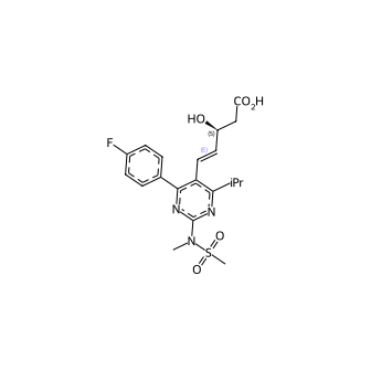 CC(C)c1nc(N(C)S(C)(=O)=O)nc(-c2ccc(F)cc2)c1/C=C/[C@@H](O)CC(=O)O